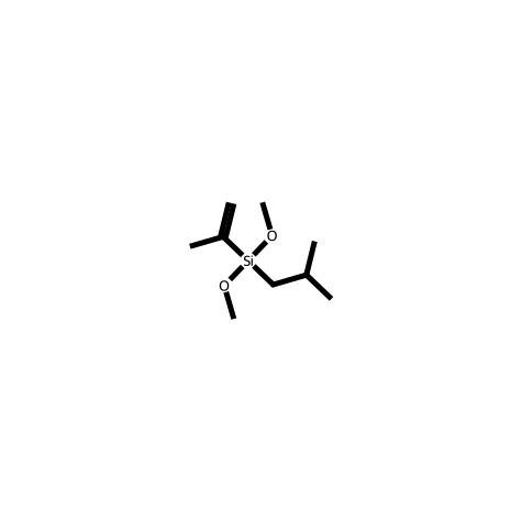 C=C(C)[Si](CC(C)C)(OC)OC